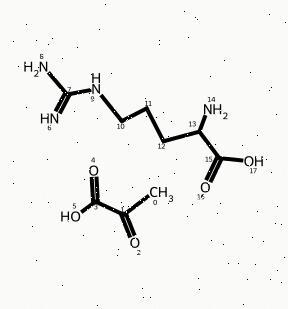 CC(=O)C(=O)O.N=C(N)NCCCC(N)C(=O)O